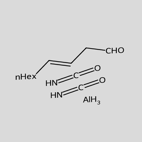 CCCCCCC=CCC=O.N=C=O.N=C=O.[AlH3]